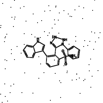 NS(=O)(=O)c1cccc(-c2c[nH]c3ccccc23)c1C1=NNNN1c1ccccc1